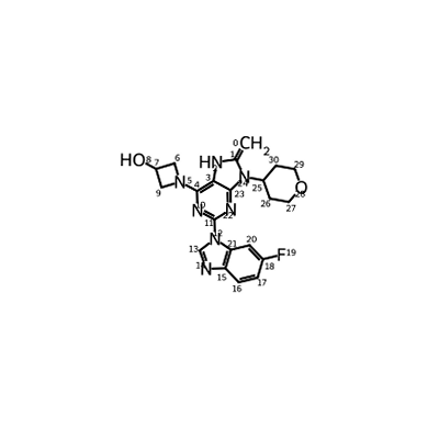 C=C1Nc2c(N3CC(O)C3)nc(-n3cnc4ccc(F)cc43)nc2N1C1CCOCC1